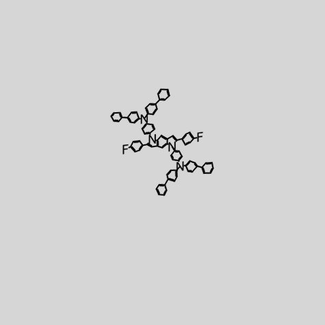 Fc1ccc(-c2cc3cc4c(cc(-c5ccc(F)cc5)n4-c4ccc(N(c5ccc(-c6ccccc6)cc5)c5ccc(-c6ccccc6)cc5)cc4)cc3n2-c2ccc(N(c3ccc(-c4ccccc4)cc3)c3ccc(-c4ccccc4)cc3)cc2)cc1